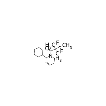 CC(F)(F)C(C)(C)C(=O)N1CCC=CC1C1CCCCC1